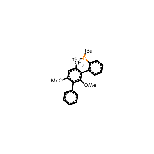 COc1cc(C)c(-c2ccccc2P(C(C)(C)C)C(C)(C)C)c(OC)c1-c1ccccc1